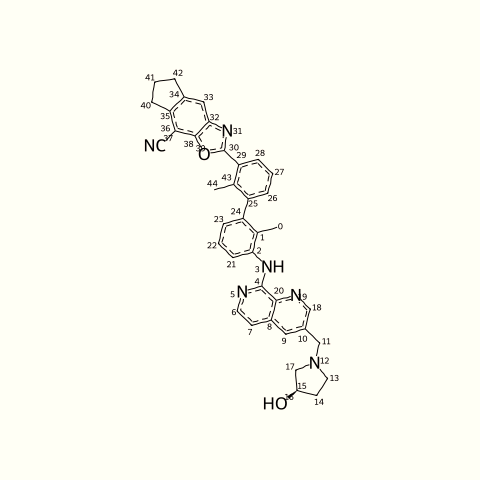 Cc1c(Nc2nccc3cc(CN4CC[C@@H](O)C4)cnc23)cccc1-c1cccc(-c2nc3cc4c(c(C#N)c3o2)CCC4)c1C